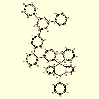 c1ccc(-c2cc(-c3ccccc3)nc(-c3ccc(-c4ccccc4-c4ccc5c(c4)C4(c6ccccc6-5)c5ccccc5N(c5ccccc5)c5ccccc54)cc3)n2)cc1